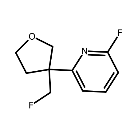 FCC1(c2cccc(F)n2)CCOC1